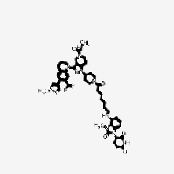 CNC(=O)N1CCc2c(c(N3CCCc4cc(-c5cnn(C)c5)c(C(F)F)cc43)nn2C2CCN(C(=O)CCCCCCNc3cccc4c3n(C)c(=O)n4C3CCC(=O)NC3=O)CC2)C1